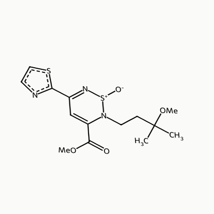 COC(=O)C1=CC(c2nccs2)=N[S+]([O-])N1CCC(C)(C)OC